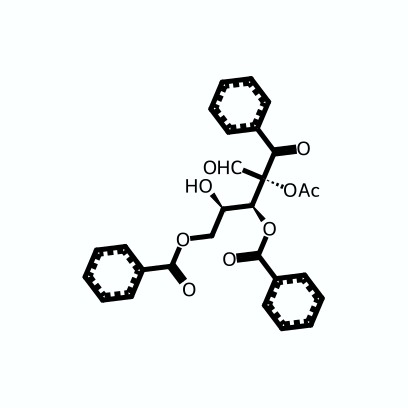 CC(=O)O[C@](C=O)(C(=O)c1ccccc1)[C@@H](OC(=O)c1ccccc1)[C@H](O)COC(=O)c1ccccc1